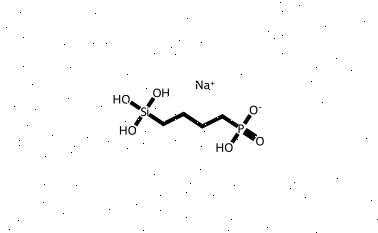 O=P([O-])(O)CCCC[Si](O)(O)O.[Na+]